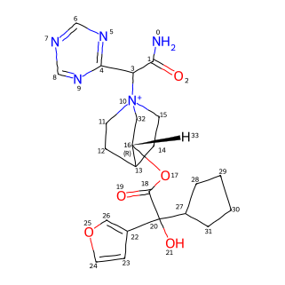 NC(=O)C(c1ncncn1)[N+]12CCC(CC1)[C@@H](OC(=O)C(O)(c1ccoc1)C1CCCC1)C2